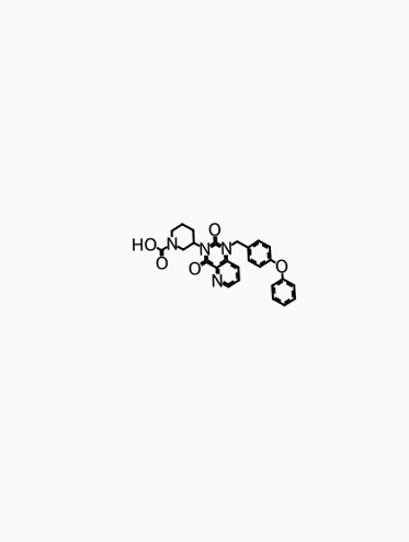 O=C(O)N1CCCC(n2c(=O)c3ncccc3n(Cc3ccc(Oc4ccccc4)cc3)c2=O)C1